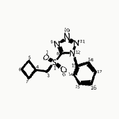 O=S(=O)(CC1CCC1)c1nnnn1-c1ccccc1